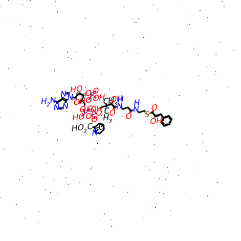 CC(C)(COP(=O)(O)OP(=O)(O)OC[C@H]1O[C@@H](n2cnc3c(N)ncnc32)[C@H](O)[C@@H]1OP(=O)(O)O)[C@@H](O)C(=O)NCCC(=O)NCCSC(=O)C(O)=Cc1ccccc1.O=C(O)C1CC2CCN1CC2